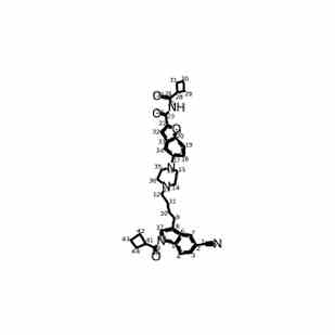 N#Cc1ccc2c(c1)c(CCCCN1CCN(c3ccc4oc(C(=O)NC(=O)C5CCC5)cc4c3)CC1)cn2C(=O)C1CCC1